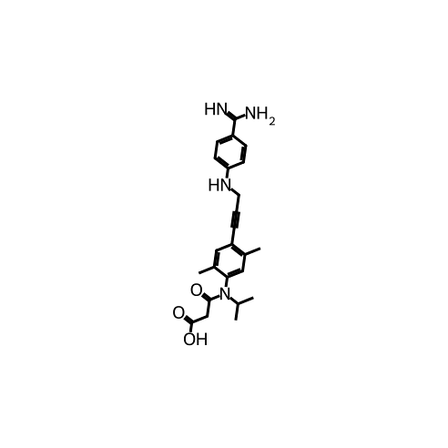 Cc1cc(N(C(=O)CC(=O)O)C(C)C)c(C)cc1C#CCNc1ccc(C(=N)N)cc1